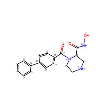 O=C(NO)C1CNCCN1C(=O)c1ccc(-c2ccccc2)cc1